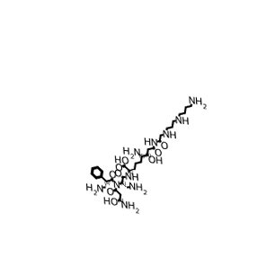 NCCCCNCCCNCC(=O)NC(=O)C[C@@H](O)[C@@H](N)CCC[C@@H](NC(=O)[C@H](CN)N(C(=O)C[C@H](N)O)C(=O)[C@H](CN)c1ccccc1)C(=O)O